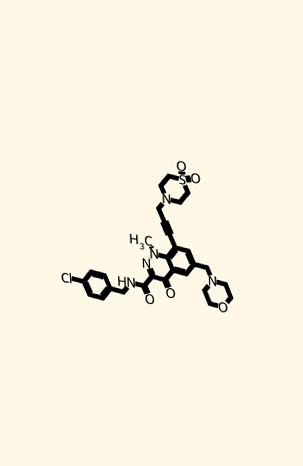 Cn1nc(C(=O)NCc2ccc(Cl)cc2)c(=O)c2cc(CN3CCOCC3)cc(C#CCN3CCS(=O)(=O)CC3)c21